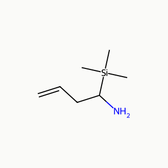 C=CCC(N)[Si](C)(C)C